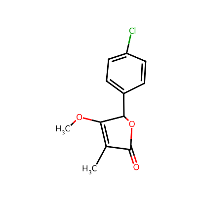 COC1=C(C)C(=O)OC1c1ccc(Cl)cc1